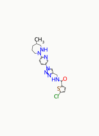 CC1CCCN(c2ccc(-n3cc(CNC(=O)c4ccc(Cl)s4)nn3)cn2)NC1